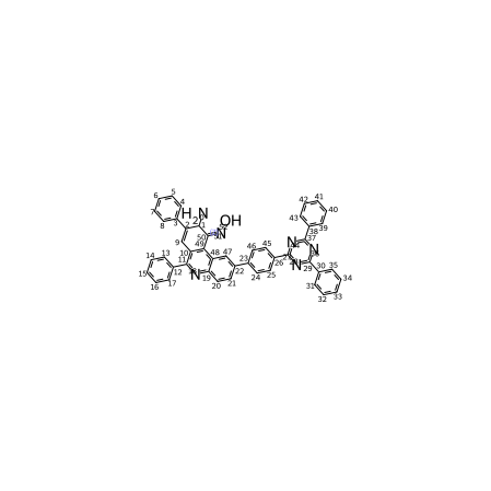 NC1C(c2ccccc2)=Cc2c(-c3ccccc3)nc3ccc(-c4ccc(-c5nc(-c6ccccc6)nc(-c6ccccc6)n5)cc4)cc3c2/C1=N/O